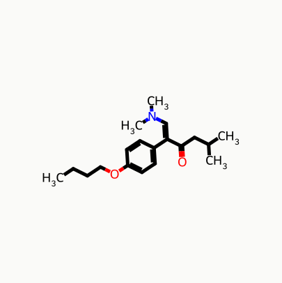 CCCCOc1ccc(/C(=C\N(C)C)C(=O)CC(C)C)cc1